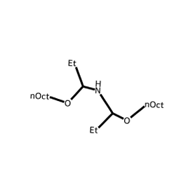 CCCCCCCCOC(CC)NC(CC)OCCCCCCCC